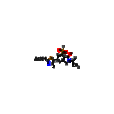 CC(=O)Nc1nc(C)c(-c2cc3c(c(S(C)(=O)=O)c2)C(=O)N(C(C)C(F)(F)F)C3)s1